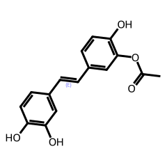 CC(=O)Oc1cc(/C=C/c2ccc(O)c(O)c2)ccc1O